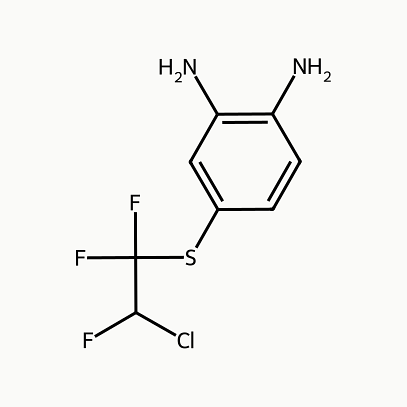 Nc1ccc(SC(F)(F)C(F)Cl)cc1N